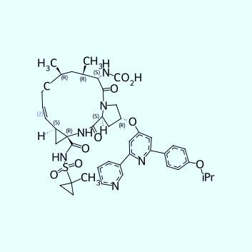 CC(C)Oc1ccc(-c2cc(O[C@@H]3C[C@H]4C(=O)N[C@]5(C(=O)NS(=O)(=O)C6(C)CC6)C[C@H]5/C=C\CC[C@@H](C)C[C@@H](C)[C@H](NC(=O)O)C(=O)N4C3)cc(-c3cccnc3)n2)cc1